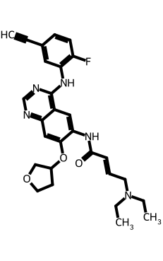 C#Cc1ccc(F)c(Nc2ncnc3cc(OC4CCOC4)c(NC(=O)C=CCN(CC)CC)cc23)c1